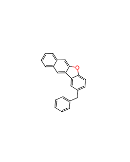 c1ccc(Cc2ccc3oc4cc5ccccc5cc4c3c2)cc1